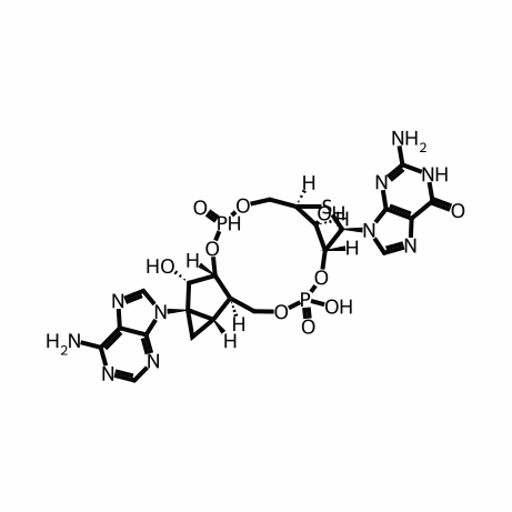 Nc1nc2c(ncn2[C@@H]2S[C@@H]3CO[PH](=O)O[C@@H]4[C@@H](COP(=O)(O)O[C@@H]2[C@@H]3O)[C@@H]2C[C@]2(n2cnc3c(N)ncnc32)[C@@H]4O)c(=O)[nH]1